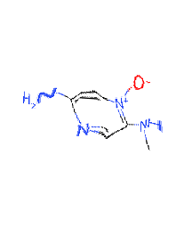 CNc1cnc(N)c[n+]1[O-]